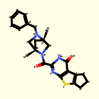 O=C(c1nc2sc3c(c2c(=O)[nH]1)CCC3)N1C[C@@H]2C[C@H]1CN2Cc1ccccc1